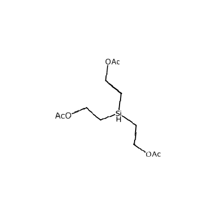 CC(=O)OCC[SiH](CCOC(C)=O)CCOC(C)=O